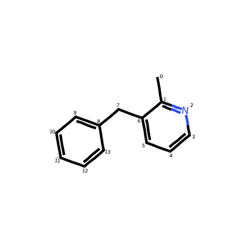 Cc1ncccc1Cc1cc[c]cc1